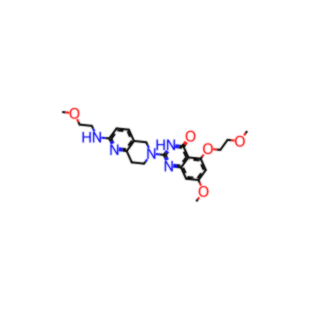 COCCNc1ccc2c(n1)CCN(c1nc3cc(OC)cc(OCCOC)c3c(=O)[nH]1)C2